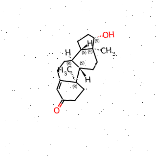 C[C@]12CC[C@H]3[C@@H](CCC4=CC(=O)C[CH][C@@]43C)[C@@H]1CC[C@@H]2O